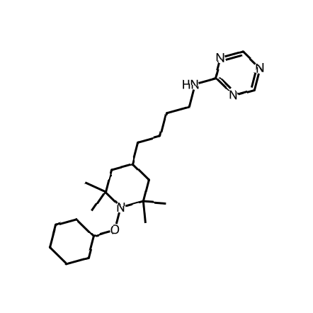 CC1(C)CC(CCCCNc2ncncn2)CC(C)(C)N1OC1CCCCC1